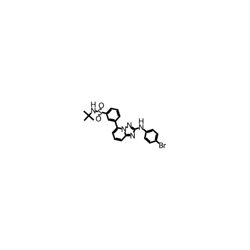 CC(C)(C)NS(=O)(=O)c1cccc(-c2cccc3nc(Nc4ccc(Br)cc4)nn23)c1